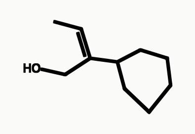 CC=C(CO)C1CCCCC1